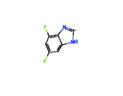 Fc1cc(F)c2n[c][nH]c2c1